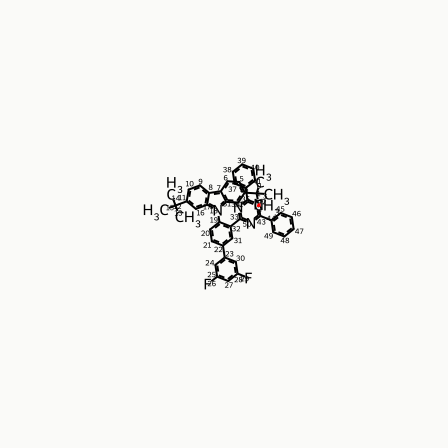 CC(C)(C)c1ccc2c3ccc(C(C)(C)C)cc3n(-c3ccc(-c4cc(F)cc(F)c4)cc3-c3nc(-c4ccccc4)nc(-c4ccccc4)n3)c2c1